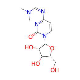 CN(C)/C=N\c1ccn([C@@H]2O[C@H](CO)C(O)[C@@H]2O)c(=O)n1